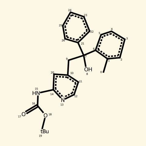 Cc1ccccc1C(O)(Cc1ccnc(NC(=O)OC(C)(C)C)c1)c1ccccc1